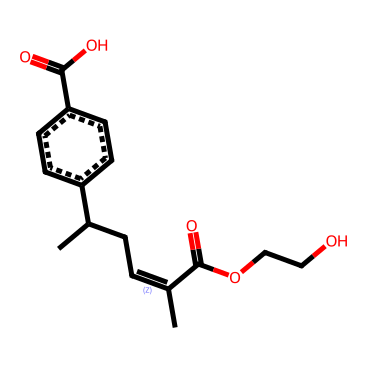 C/C(=C/CC(C)c1ccc(C(=O)O)cc1)C(=O)OCCO